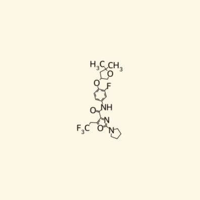 CC1(C)CC(Oc2ccc(NC(=O)c3nc(N4CCCC4)oc3CC(F)(F)F)cc2F)CO1